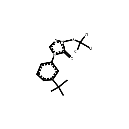 CC(C)(C)c1cccc(-n2cnn(SC(Cl)(Cl)Cl)c2=O)c1